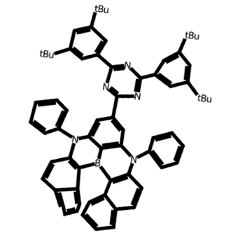 CC(C)(C)c1cc(-c2nc(-c3cc(C(C)(C)C)cc(C(C)(C)C)c3)nc(-c3cc4c5c(c3)N(c3ccccc3)c3ccc6ccccc6c3B5c3c(ccc5ccccc35)N4c3ccccc3)n2)cc(C(C)(C)C)c1